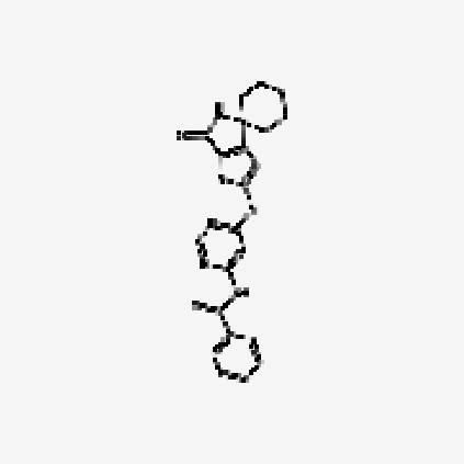 O=C(Nc1cc(Nc2cc3c(s2)C(=O)NC32CCCCC2)ncn1)c1ccccc1